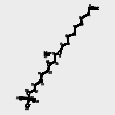 CCCCCCCCCCCCCCCCCCOCCOCCOCCOS(=O)(=O)[O-].[Na+]